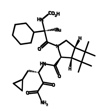 CC1(C)[C@@H]2[C@@H](C(=O)N[C@@H](CC3CC3)C(=O)C(N)=O)N(C(=O)[C@](NC(=O)O)(C3CCCCC3)C(C)(C)C)C[C@@H]2C1(C)C